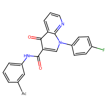 CC(=O)c1cccc(NC(=O)c2cn(-c3ccc(F)cc3)c3ncccc3c2=O)c1